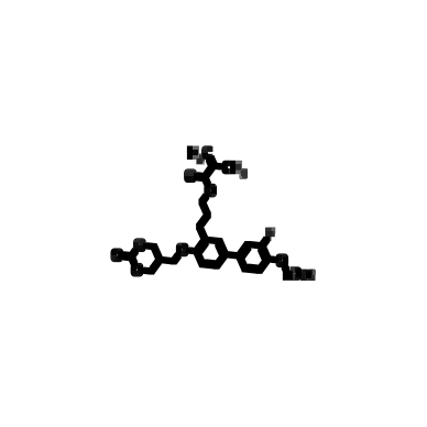 C=C(C)C(=O)OCCCc1cc(-c2ccc(OCCCCCCCCCC)c(F)c2)ccc1OCC1COC(=O)OC1